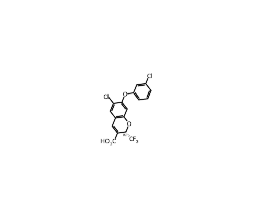 O=C(O)C1=Cc2cc(Cl)c(Oc3cccc(Cl)c3)cc2O[C@@H]1C(F)(F)F